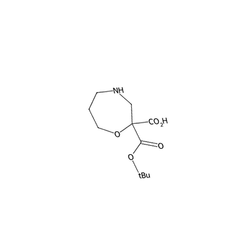 CC(C)(C)OC(=O)C1(C(=O)O)CNCCCO1